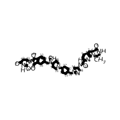 C[C@@H]1CNC(=O)c2cc3ccc(C(=O)Nc4cnn(Cc5ccc(N6CCC(N(C)Cc7ccc8c(c7)C(=O)N(N7CCC(=O)NC7=O)C8=O)CC6)cc5)c4)nc3n21